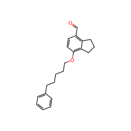 O=Cc1ccc(OCCCCCc2ccccc2)c2c1CCC2